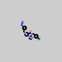 [N-]=[N+]=Nc1cccc(CN2CCC3=C(C2)C(=O)N(Cc2ccc(C(F)(F)F)cc2)C2=NCCN23)c1